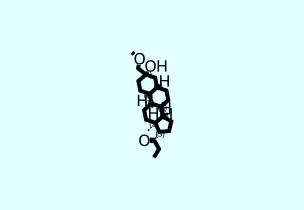 CCC(=O)[C@H]1CC[C@H]2[C@@H]3CC[C@H]4C[C@@](O)(COC)CC[C@@H]4[C@H]3CC[C@]12C